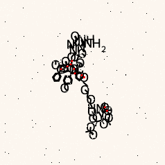 COc1ccc(C(OC(C(=O)COc2ccccc2)[C@H]2O[C@@H](n3cnc4c(=O)[nH]c(N)nc43)[C@H](OC)[C@@H]2OP(CCOCCOCCOCCO[C@@H]2O[C@H](COC(C)=O)[C@H](OC(C)=O)[C@H](OC(C)=O)[C@H]2NC(C)=O)N(C(C)C)C(C)C)(c2ccccc2)c2ccc(OC)cc2)cc1